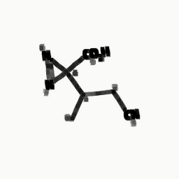 CC(CC#N)C1(C(=O)O)N=N1